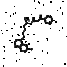 CC(CCCCc1ccnc2ccc(F)cc12)CNCNc1ccccc1